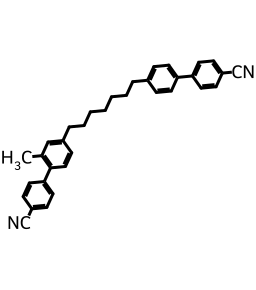 Cc1cc(CCCCCCCc2ccc(-c3ccc(C#N)cc3)cc2)ccc1-c1ccc(C#N)cc1